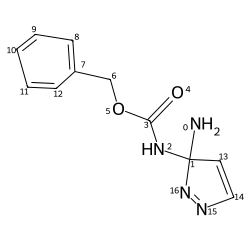 NC1(NC(=O)OCc2ccccc2)C=CN=N1